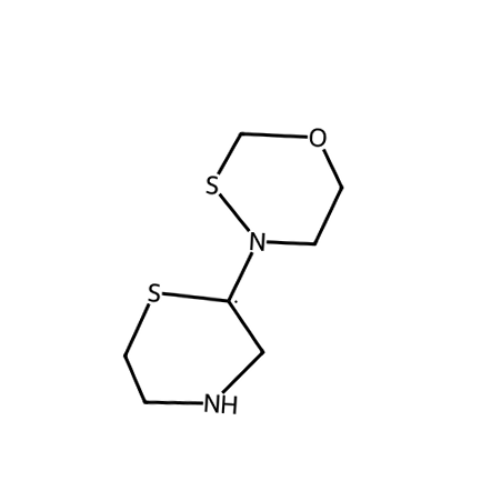 C1CS[C](N2CCOCS2)CN1